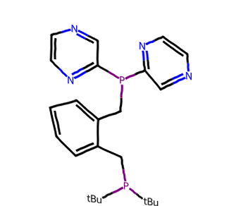 CC(C)(C)P(Cc1ccccc1CP(c1cnccn1)c1cnccn1)C(C)(C)C